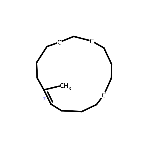 C/C1=C\CCCCCCCCCCCCC1